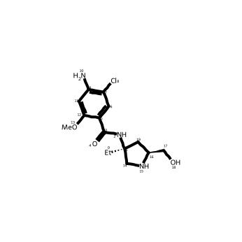 CC[C@@]1(NC(=O)c2cc(Cl)c(N)cc2OC)CN[C@H](CO)C1